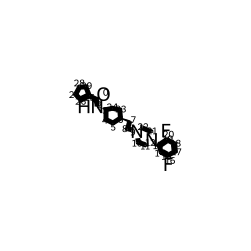 O=C(N[C@H]1CC[C@H](CCN2CCN(c3cc(F)ccc3F)CC2)CC1)C1=CCCC1